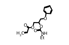 C=CC(=O)OCC(COc1ccccc1)OC(=O)NCC